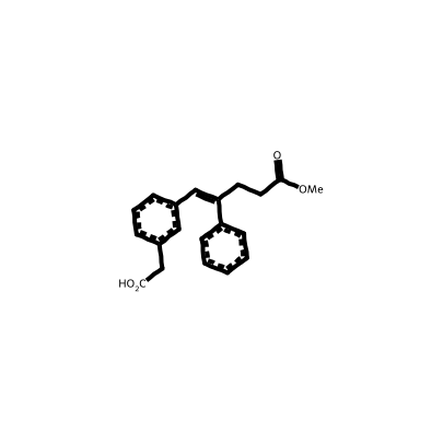 COC(=O)CCC(=Cc1cccc(CC(=O)O)c1)c1ccccc1